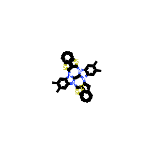 Cc1cc2c(cc1C)N(c1cc3ccccc3s1)C(=C1N(c3cc4ccccc4s3)c3cc(C)c(C)cc3N1c1cc3ccccc3s1)N2c1cc2ccccc2s1